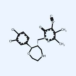 [C-]#[N+]c1c(C)c(C)nn(C[C@@H]2CNCCO[C@H]2c2ccc(Cl)c(Cl)c2)c1=O